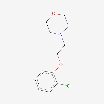 Clc1cc[c]cc1OCCN1CCOCC1